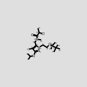 CC(C)Oc1nn(CCO[Si](C)(C)C(C)(C)C)c(CN(C)C(=O)C(C)Cl)c1I